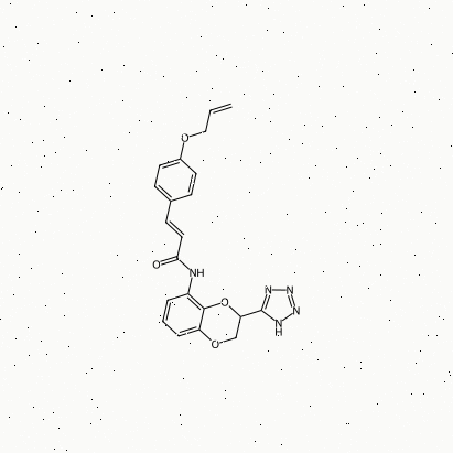 C=CCOc1ccc(C=CC(=O)Nc2cccc3c2OC(c2nnn[nH]2)CO3)cc1